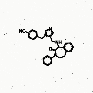 N#Cc1ccc(Cn2cncc2CNC2C(=O)N(c3ccccc3)CCc3ccccc32)cc1